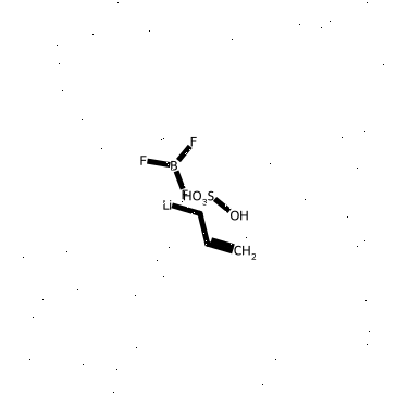 FB(F)F.O=S(=O)(O)O.[Li][CH2]C=C